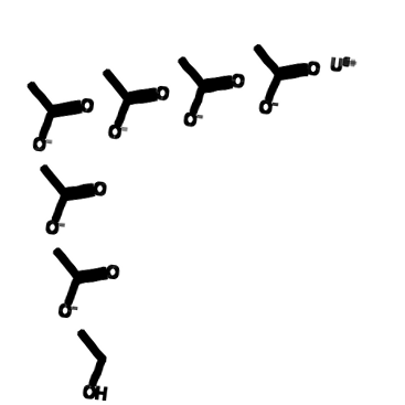 CC(=O)[O-].CC(=O)[O-].CC(=O)[O-].CC(=O)[O-].CC(=O)[O-].CC(=O)[O-].CCO.[U+6]